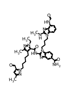 CCn1nc(C)c(CCCCCn2nc(C)cc2C=O)c1C(=O)Nc1nc2cc(C(N)=O)ccc2n1CCCCn1c(NC)nc2c(NC=O)cccc21